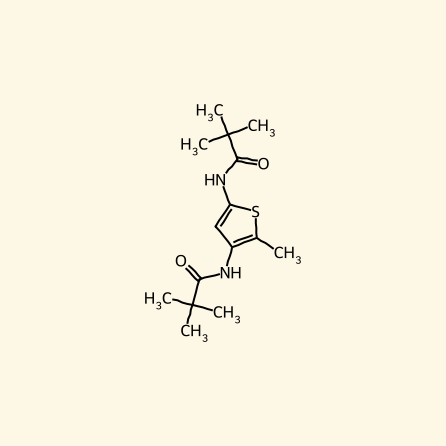 Cc1sc(NC(=O)C(C)(C)C)cc1NC(=O)C(C)(C)C